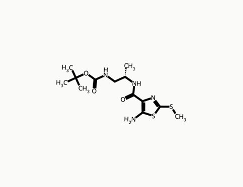 CSc1nc(C(=O)N[C@@H](C)CNC(=O)OC(C)(C)C)c(N)s1